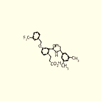 Cc1cc(C)cc(C(CC(C)C)NC(=O)c2cc(OCc3cccc(C(F)(F)F)c3)ccc2CCC(=O)O)c1